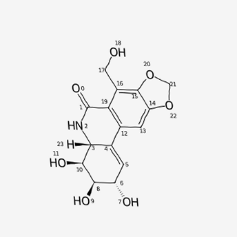 O=C1N[C@@H]2C(=C[C@H](O)[C@@H](O)[C@H]2O)c2cc3c(c(CO)c21)OCO3